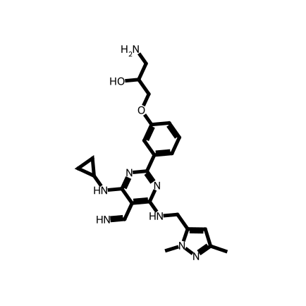 Cc1cc(CNc2nc(-c3cccc(OCC(O)CN)c3)nc(NC3CC3)c2C=N)n(C)n1